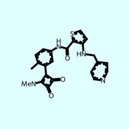 CNc1c(-c2cc(NC(=O)c3sccc3NCc3ccncc3)ccc2C)c(=O)c1=O